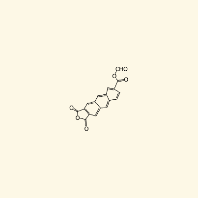 O=COC(=O)c1ccc2cc3cc4c(cc3cc2c1)C(=O)OC4=O